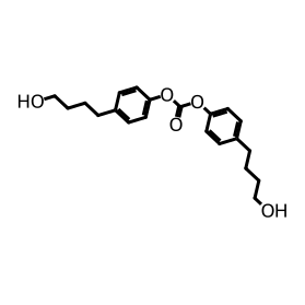 O=C(Oc1ccc(CCCCO)cc1)Oc1ccc(CCCCO)cc1